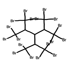 BrC(Br)(Br)C(C(C(C(Br)(Br)Br)C(Br)(Br)Br)C(C(Br)(Br)Br)C(Br)(Br)Br)C(Br)(Br)Br